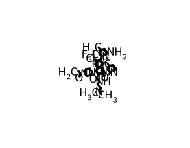 C=CC(=O)N1CCN(c2c(C(=O)NCCN(C)C)c(=O)n(-c3c(C)ccnc3C(C)C)c3c(F)c(-c4nc(N)cc(C)c4C(F)(F)F)c(Cl)cc23)CC1